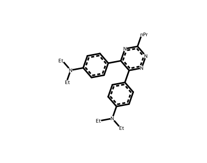 CCCc1nnc(-c2ccc(N(CC)CC)cc2)c(-c2ccc(N(CC)CC)cc2)n1